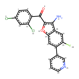 Nc1c(C(=O)c2ccc(Cl)cc2Cl)oc2cc(-c3cccnc3)c(F)cc12